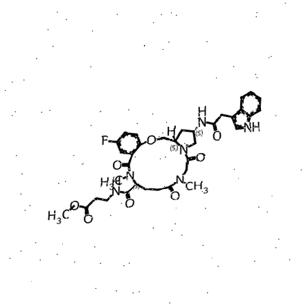 COC(=O)CCNC(=O)[C@@H]1CCC(=O)N(C)CC(=O)N2C[C@@H](NC(=O)Cc3c[nH]c4ccccc34)C[C@H]2COc2ccc(F)cc2C(=O)N1C